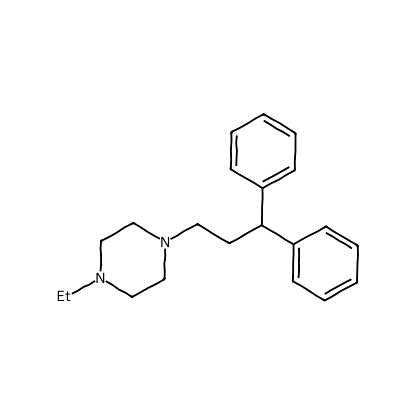 [CH2]CN1CCN(CCC(c2ccccc2)c2ccccc2)CC1